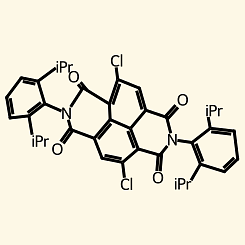 CC(C)c1cccc(C(C)C)c1N1C(=O)c2cc(Cl)c3c4c(cc(Cl)c(c24)C1=O)C(=O)N(c1c(C(C)C)cccc1C(C)C)C3=O